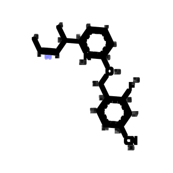 C/C=C\C(C)c1cccc(OCc2ccc(C#N)cc2F)n1